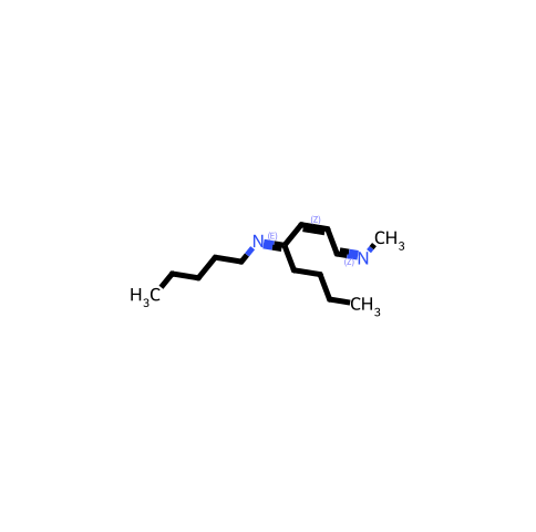 CCCCC/N=C(/C=C\C=N/C)CCCC